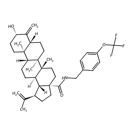 C=C(C)[C@@H]1CC[C@]2(C(=O)NCc3ccc(OC(F)(F)F)cc3)CC[C@]3(C)[C@H](CC[C@@H]4[C@@]5(C)CC[C@H](O)C(=C)[C@@H]5CC[C@]43C)[C@@H]12